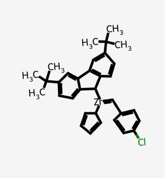 CC(C)(C)c1ccc2c(c1)-c1cc(C(C)(C)C)ccc1[CH]2[Zr](=[CH]c1ccc(Cl)cc1)[CH]1C=CC=C1